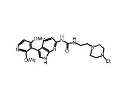 CCN1CCN(CCNC(=O)Nc2ccc3c(-c4c(OC)ccnc4OC)c[nH]c3n2)CC1